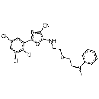 CN(CCOCCNc1oc(-c2cc(Cl)cc(Cl)c2Cl)nc1C#N)c1ccccc1